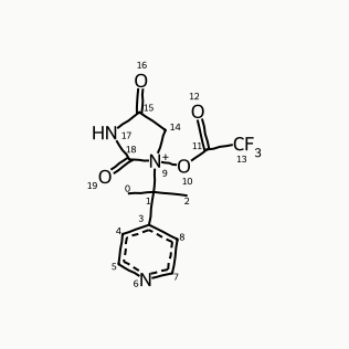 CC(C)(c1ccncc1)[N+]1(OC(=O)C(F)(F)F)CC(=O)NC1=O